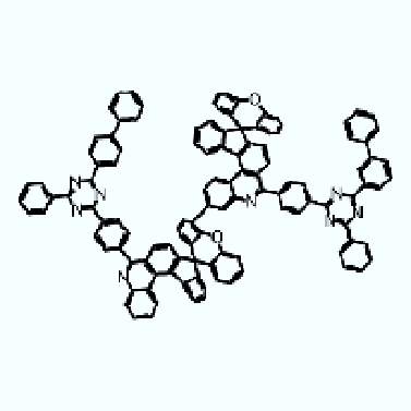 c1ccc(-c2ccc(-c3nc(-c4ccccc4)nc(-c4ccc(-c5nc6ccccc6c6c7c(ccc56)C5(c6ccccc6Oc6c(-c8ccc9c(c8)nc(-c8ccc(-c%10nc(-c%11ccccc%11)nc(-c%11cccc(-c%12ccccc%12)c%11)n%10)cc8)c8ccc%10c(c89)-c8ccccc8C%108c9ccccc9Oc9ccccc98)cccc65)c5ccccc5-7)cc4)n3)cc2)cc1